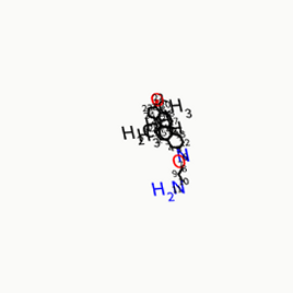 C=C1CC2CC(=NOCCCN)CC[C@]2(C)[C@H]2CC[C@]3(C)C(=O)CC[C@H]3[C@H]12